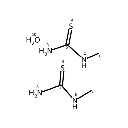 CNC(N)=S.CNC(N)=S.O